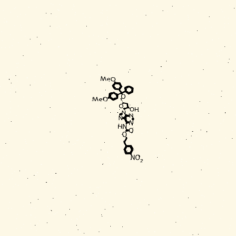 COc1ccc(C(OC[C@@H]2C[C@@H](O)[C@H](n3cnc4c(NC(=O)OCCc5ccc([N+](=O)[O-])cc5)ncnc43)O2)(c2ccccc2)c2ccc(OC)cc2)cc1